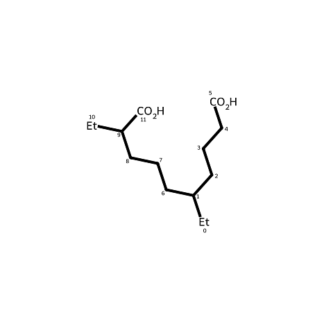 CCC(CCCC(=O)O)CCCC(CC)C(=O)O